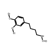 CCOc1ccc(CCCCNC=O)cc1OCC